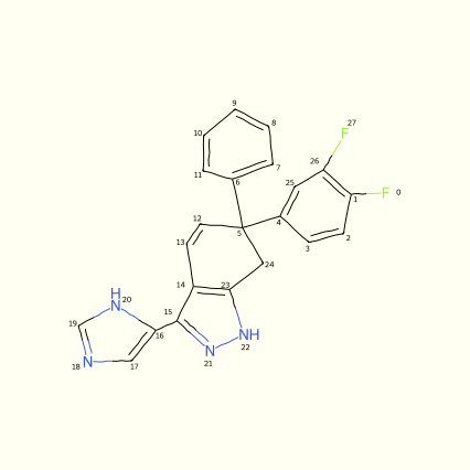 Fc1ccc(C2(c3ccccc3)C=Cc3c(-c4cnc[nH]4)n[nH]c3C2)cc1F